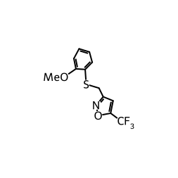 COc1ccccc1SCc1cc(C(F)(F)F)on1